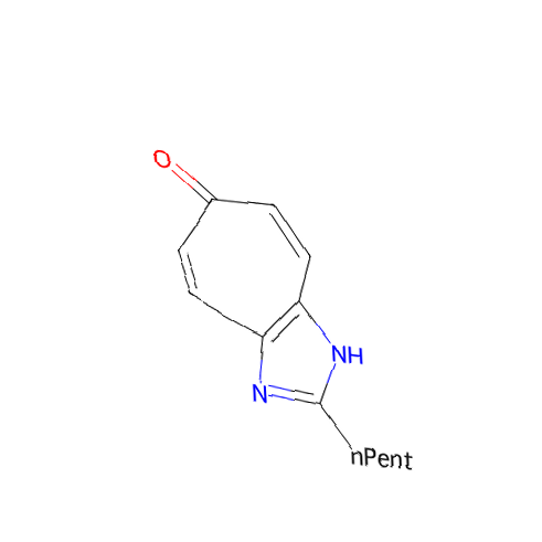 CCCCCc1nc2ccc(=O)ccc2[nH]1